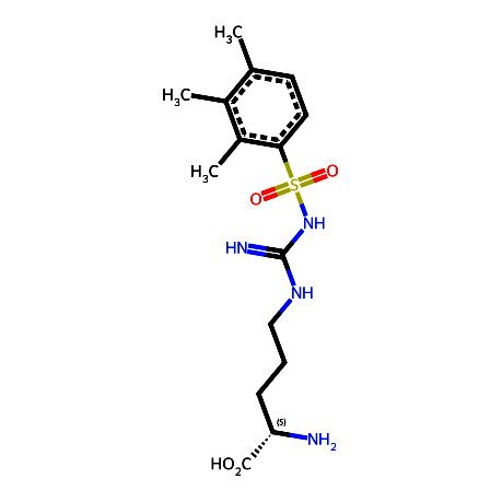 Cc1ccc(S(=O)(=O)NC(=N)NCCC[C@H](N)C(=O)O)c(C)c1C